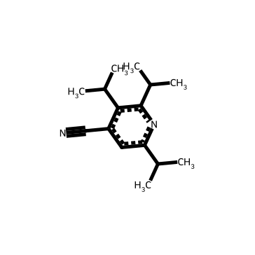 CC(C)c1cc(C#N)c(C(C)C)c(C(C)C)n1